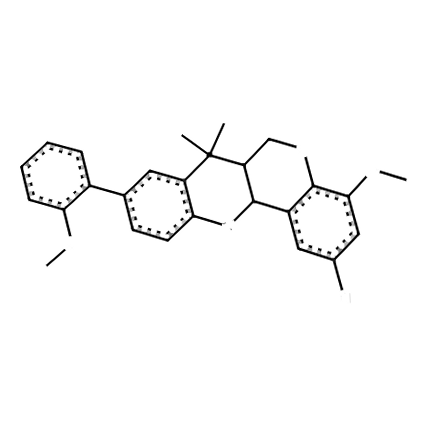 COc1ccccc1-c1ccc2c(c1)C(C)(C)C1COc3c(OC)cc(Cl)cc3C1N2